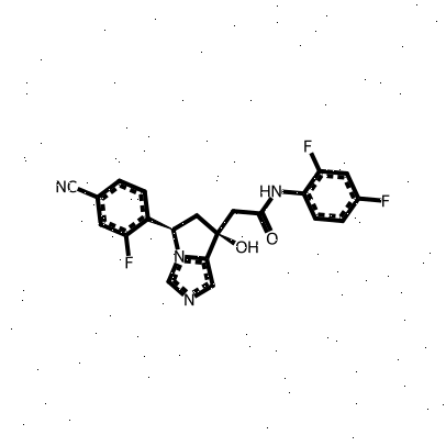 N#Cc1ccc([C@H]2C[C@](O)(CC(=O)Nc3ccc(F)cc3F)c3cncn32)c(F)c1